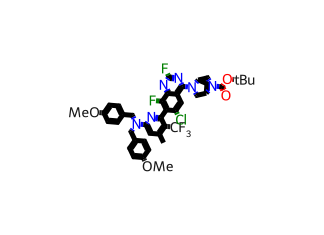 COc1ccc(CN(Cc2ccc(OC)cc2)c2cc(C)c(C(F)(F)F)c(-c3c(Cl)cc4c(N5CC6CC5CN6C(=O)OC(C)(C)C)nc(F)nc4c3F)n2)cc1